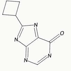 O=C1N=CN=C2N=C(C3CCC3)N=C12